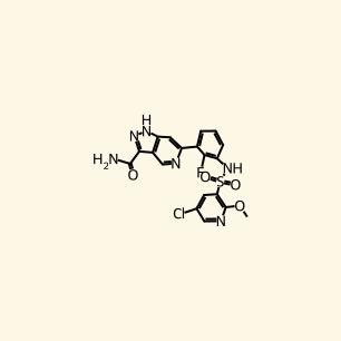 COc1ncc(Cl)cc1S(=O)(=O)Nc1cccc(-c2cc3[nH]nc(C(N)=O)c3cn2)c1F